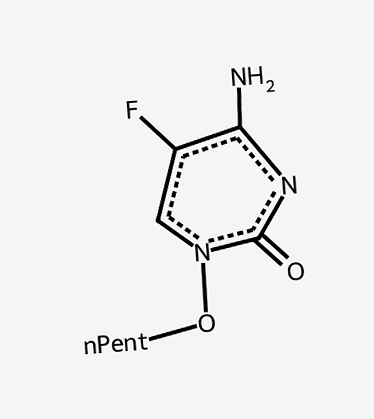 CCCCCOn1cc(F)c(N)nc1=O